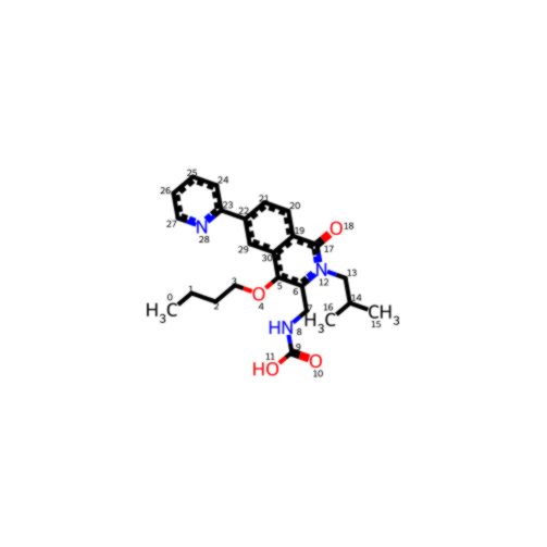 CCCCOc1c(CNC(=O)O)n(CC(C)C)c(=O)c2ccc(-c3ccccn3)cc12